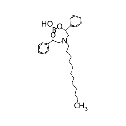 CCCCCCCCCCCCN1CC(c2ccccc2)OB(O)OC(c2ccccc2)C1